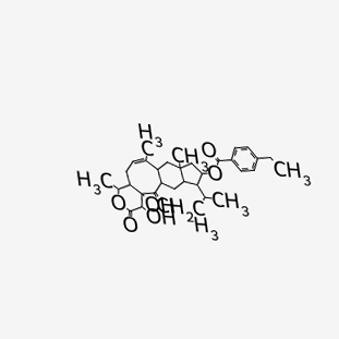 C=C1C2CC3C(C(C)C)C(OC(=O)c4ccc(CC)cc4)CC3(C)CC2/C(C)=C\CC2C(C)OC(=O)C(O)C12O